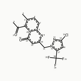 CC(=O)c1c(C)ccc2nc(Cn3nc(Cl)cc3C(F)(F)F)cc(=O)n12